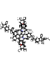 CB(c1ccccc1)n1c(-c2ccc(OC(=O)c3ccc4c(c3)C(=O)N(C)C4=O)cc2)c2/c(=C(\C#N)c3cnc4cc(Cl)c(Cl)cc4n3)n(B(c3ccccc3)c3ccccc3)c(-c3ccc(OC(=O)c4ccc5c(c4)C(=O)N(C)C5=O)cc3)c2/c1=C(\C#N)c1cnc2cc(Cl)c(Cl)cc2n1